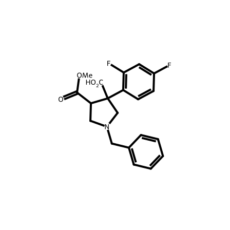 COC(=O)C1CN(Cc2ccccc2)CC1(C(=O)O)c1ccc(F)cc1F